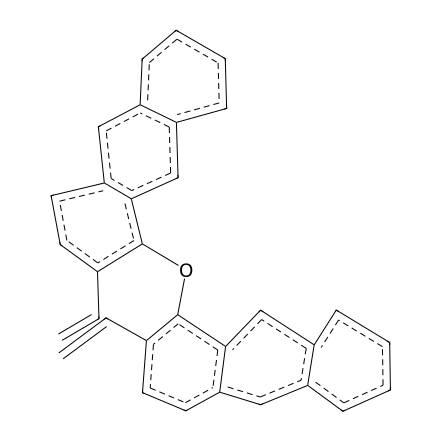 C=Cc1ccc2cc3ccccc3cc2c1Oc1c(C=C)ccc2cc3ccccc3cc12